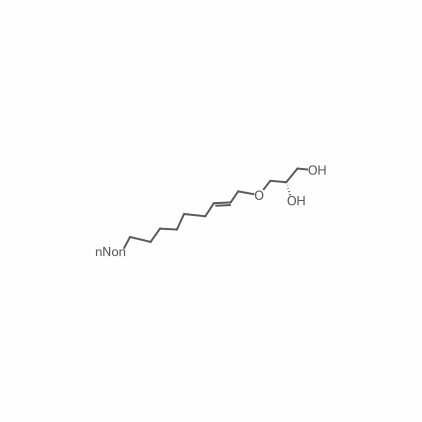 CCCCCCCCCCCCCCC/C=C/COC[C@@H](O)CO